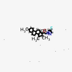 CC1CCC2C(CCC3C2CCC2(C)C(C(=O)Cn4cc(F)cn4)C(C)[C@@H](C)C32)C1